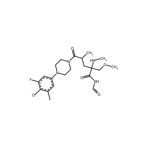 CNC(COC)(CC(C)C(=O)N1CCN(c2cc(F)c(Cl)c(F)c2)CC1)C(=O)NC=O